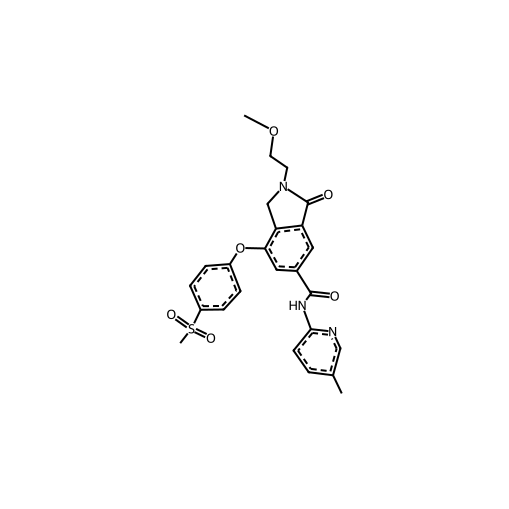 COCCN1Cc2c(Oc3ccc(S(C)(=O)=O)cc3)cc(C(=O)Nc3ccc(C)cn3)cc2C1=O